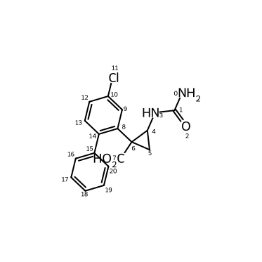 NC(=O)NC1CC1(C(=O)O)c1cc(Cl)ccc1-c1ccccc1